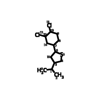 CC(C)C1CSC(C2CCC(Cl)C(Cl)C2)C1